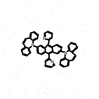 C1=Cc2ccccc2N(c2ccc3c(-c4ccccn4)c4cc(N5c6ccccc6C=Cc6ccccc65)ccc4c(-c4ccccn4)c3c2)c2ccccc21